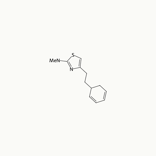 CNc1nc(CCC2C=CC=CC2)cs1